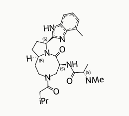 CN[C@@H](C)C(=O)N[C@H]1CN(C(=O)CC(C)C)CC[C@H]2CC[C@@H](c3nc4c(C)cccc4[nH]3)N2C1=O